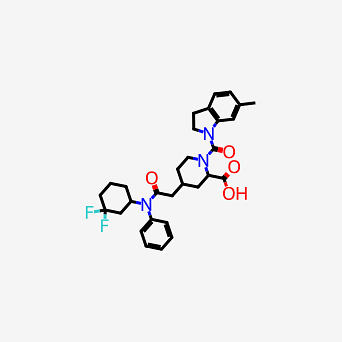 Cc1ccc2c(c1)N(C(=O)N1CCC(CC(=O)N(c3ccccc3)C3CCCC(F)(F)C3)CC1C(=O)O)CC2